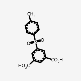 Cc1ccc(S(=O)(=O)c2cc(C(=O)O)cc(C(=O)O)c2)cc1